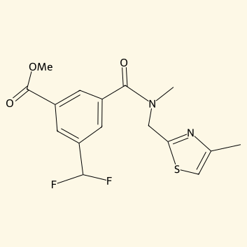 COC(=O)c1cc(C(=O)N(C)Cc2nc(C)cs2)cc(C(F)F)c1